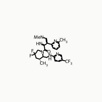 CN/C=C(\C(=N)C(=O)N1CC(F)(F)C[C@@H](C)C1CNc1ccc(C(F)(F)F)cn1)c1cccc(C)n1